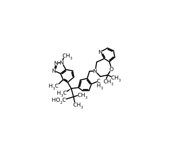 Cc1ccc([C@@](C)(c2ccc3c(nnn3C)c2C)C(C)(C)C(=O)O)cc1CN1Cc2ncccc2OC(C)(C)C1